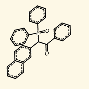 O=C(c1ccccc1)C(c1ccc2ccccc2c1)P(=O)(c1ccccc1)c1ccccc1